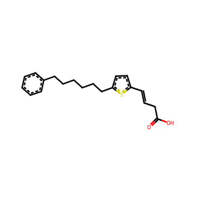 O=C(O)CC=Cc1ccc(CCCCCCc2ccccc2)s1